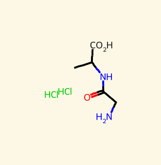 CC(NC(=O)CN)C(=O)O.Cl.Cl